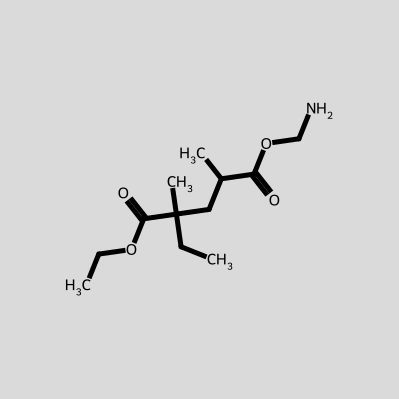 CCOC(=O)C(C)(CC)CC(C)C(=O)OCN